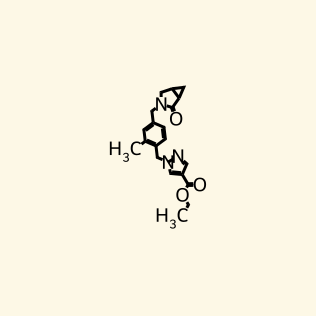 CCOC(=O)c1cnn(Cc2ccc(CN3CC4CC4C3=O)cc2C)c1